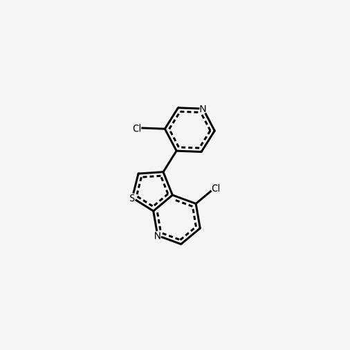 Clc1cnccc1-c1csc2nccc(Cl)c12